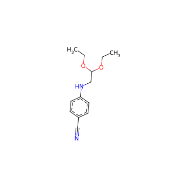 CCOC(CNc1ccc(C#N)cc1)OCC